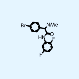 CNC(C(=O)Nc1cc(F)ccc1F)c1ccc(Br)cc1